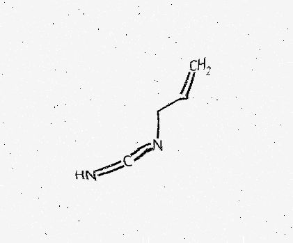 C=CCN=C=N